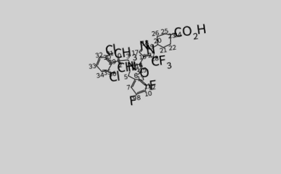 CC(C)(CN(Cc1cc(F)cc(F)c1)C(=O)c1cnn(C2CCC(C(=O)O)CC2)c1C(F)(F)F)c1c(Cl)cccc1Cl